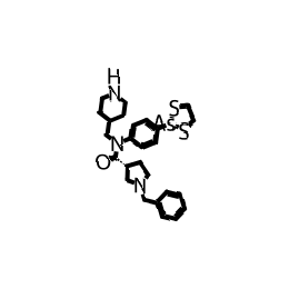 O=C([C@@H]1CCN(Cc2ccccc2)C1)N(CC1CCNCC1)c1ccc([As]2SCCS2)cc1